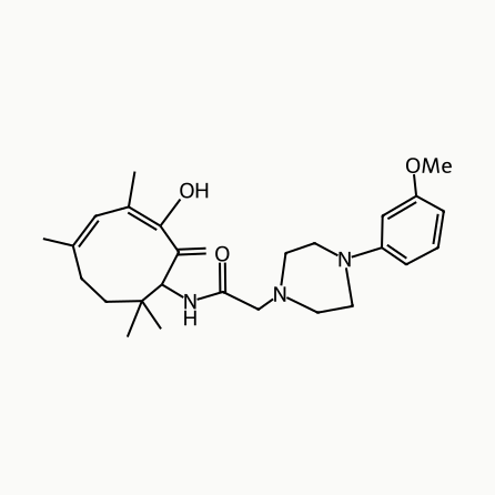 C=C1/C(O)=C(C)\C=C(\C)CCC(C)(C)C1NC(=O)CN1CCN(c2cccc(OC)c2)CC1